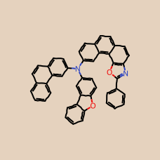 c1ccc(-c2nc3ccc4ccc5ccc(N(c6ccc7ccc8ccccc8c7c6)c6ccc7oc8ccccc8c7c6)cc5c4c3o2)cc1